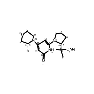 COC(C)(C)[C@@H]1CCCN1c1cc(N2CCOC[C@H]2C)cc(=O)[nH]1